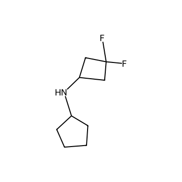 FC1(F)CC(NC2CCCC2)C1